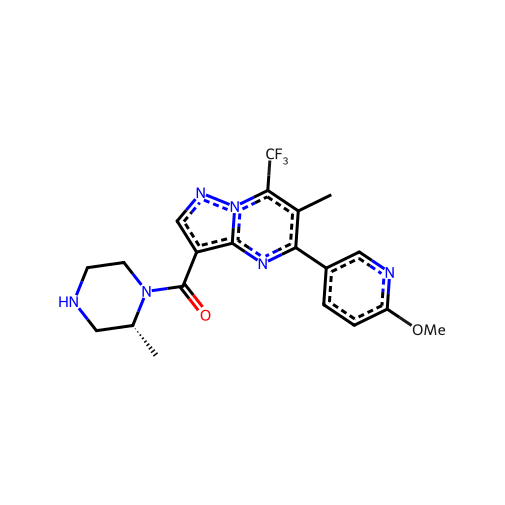 COc1ccc(-c2nc3c(C(=O)N4CCNC[C@H]4C)cnn3c(C(F)(F)F)c2C)cn1